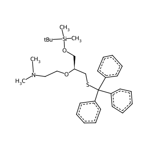 CN(C)CCO[C@@H](CO[Si](C)(C)C(C)(C)C)CSC(c1ccccc1)(c1ccccc1)c1ccccc1